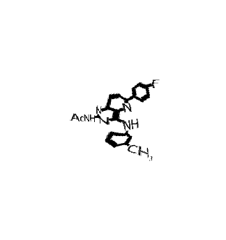 CC(=O)Nc1nc(Nc2cccc(C)c2)c2nc(-c3ccc(F)cc3)ccc2n1